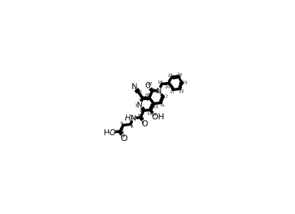 N#Cc1nc(C(=O)NCCC(=O)O)c(O)c2ccn(Cc3ccccc3)c(=O)c12